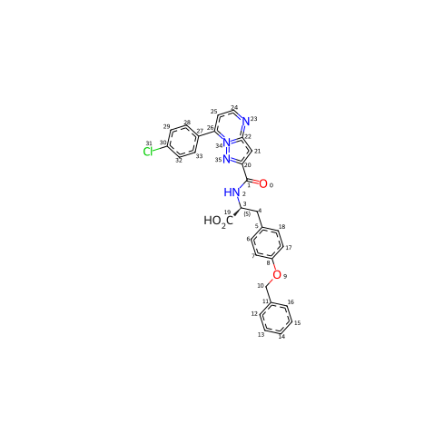 O=C(N[C@@H](Cc1ccc(OCc2ccccc2)cc1)C(=O)O)c1cc2nccc(-c3ccc(Cl)cc3)n2n1